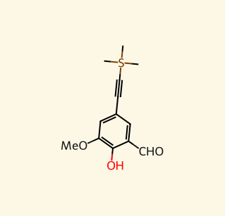 COc1cc(C#CS(C)(C)C)cc(C=O)c1O